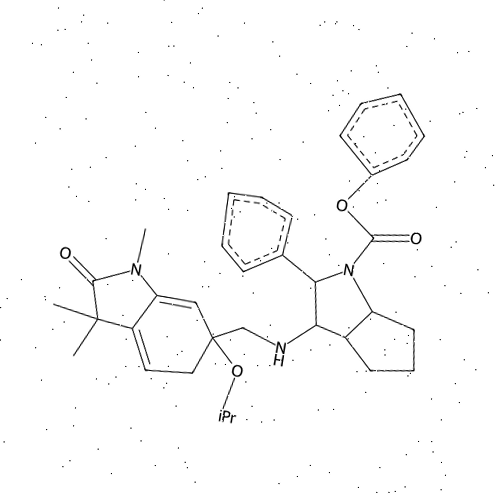 CC(C)OC1(CNC2C3CCCC3N(C(=O)Oc3ccccc3)C2c2ccccc2)C=C2C(=CC1)C(C)(C)C(=O)N2C